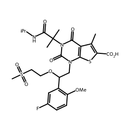 COc1ccc(F)cc1C(Cn1c(=O)n(C(C)(C)C(=O)NC(C)C)c(=O)c2c(C)c(C(=O)O)sc21)OCCS(C)(=O)=O